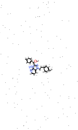 CO[C@@H](c1ccc(C)cc1)C(C)Nc1ncccc1NCCc1ccc(C)cc1